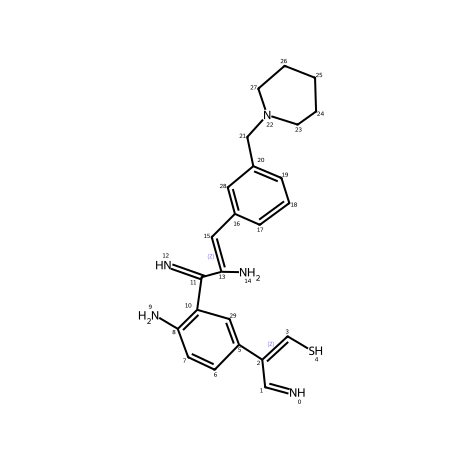 N=C/C(=C\S)c1ccc(N)c(C(=N)/C(N)=C/c2cccc(CN3CCCCC3)c2)c1